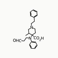 CC1CN(CCc2ccccc2)CCC1(C(=O)O)N(CCC=O)c1ccccc1